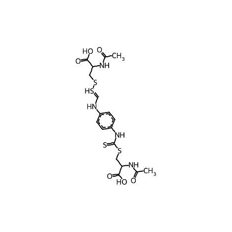 CC(=O)NC(CS[SH]=CNc1ccc(NC(=S)SCC(NC(C)=O)C(=O)O)cc1)C(=O)O